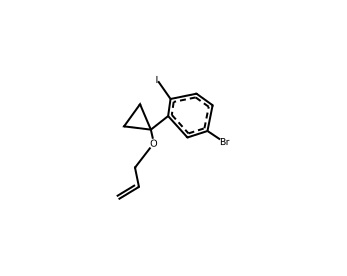 C=CCOC1(c2cc(Br)ccc2I)CC1